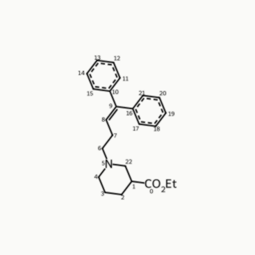 CCOC(=O)C1CCCN(CCC=C(c2ccccc2)c2ccccc2)C1